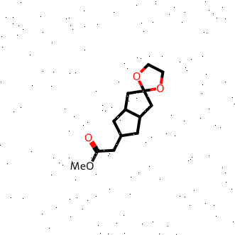 COC(=O)CC1CC2CC3(CC2C1)OCCO3